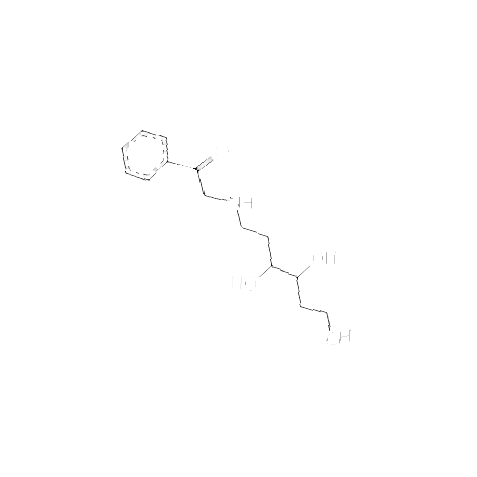 CCCC(O)C(O)CCNCC(=O)c1ccccc1